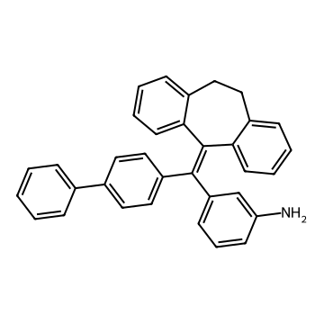 Nc1cccc(C(=C2c3ccccc3CCc3ccccc32)c2ccc(-c3ccccc3)cc2)c1